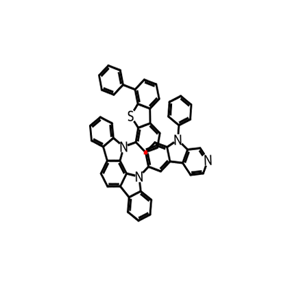 c1ccc(-c2cccc3c2sc2c(-n4c5ccccc5c5ccc6c7ccccc7n(-c7ccc8c(c7)c7ccncc7n8-c7ccccc7)c6c54)cccc23)cc1